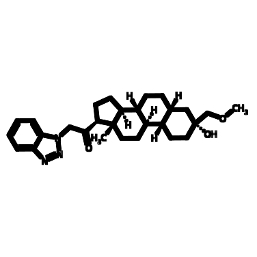 COC[C@@]1(O)CC[C@H]2[C@H](CC[C@@H]3[C@@H]2CC[C@]2(C)[C@@H](C(=O)Cn4nnc5ccccc54)CC[C@@H]32)C1